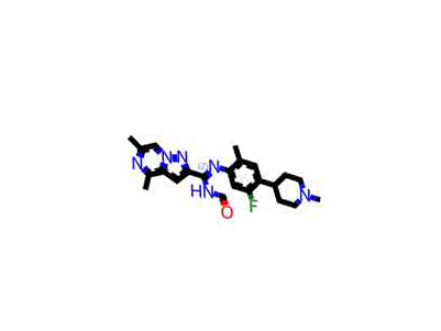 Cc1cn2nc(/C(=N/c3cc(F)c(C4CCN(C)CC4)cc3C)NC=O)cc2c(C)n1